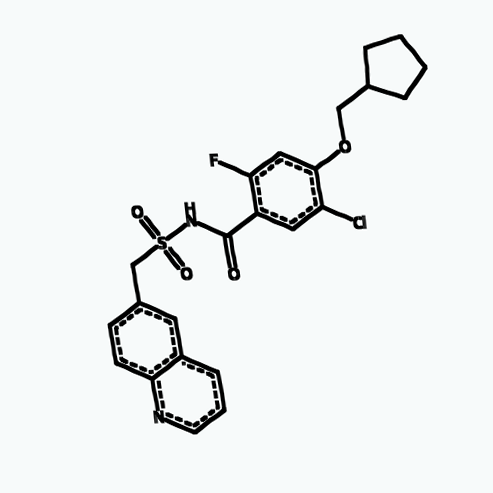 O=C(NS(=O)(=O)Cc1ccc2ncccc2c1)c1cc(Cl)c(OCC2CCCC2)cc1F